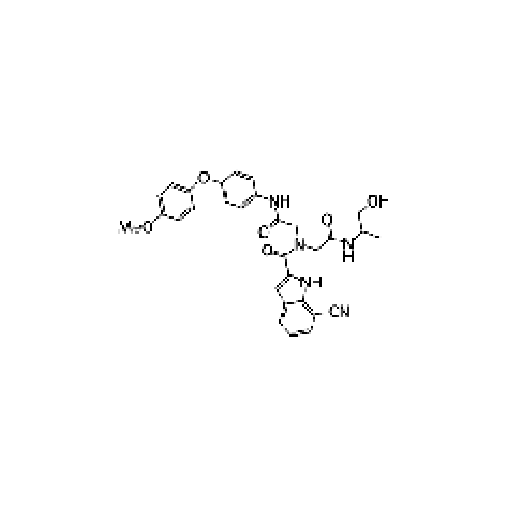 COc1ccc(Oc2ccc(NC(=O)CN(CC(=O)NC(C)CO)C(=O)c3cc4cccc(C#N)c4[nH]3)cc2)cc1